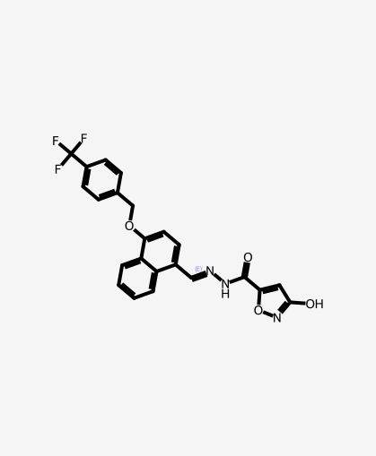 O=C(N/N=C/c1ccc(OCc2ccc(C(F)(F)F)cc2)c2ccccc12)c1cc(O)no1